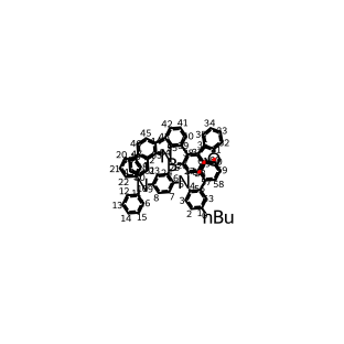 CCCCc1ccc(N2c3ccc(N(c4ccccc4)c4ccccc4)cc3B3c4c2cc2oc5ccccc5c2c4-c2cccc4c5ccc6ccccc6c5n3c24)c(-c2ccccc2)c1